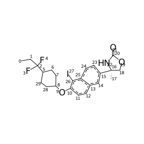 CCC(F)(F)C1CCC(Oc2ccc3cc([C@]4(C)COC(=O)N4)ccc3c2I)CC1